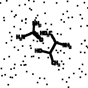 CC(O)C(N)C(=O)O.NC(N)=O